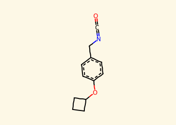 O=C=NCc1ccc(OC2CCC2)cc1